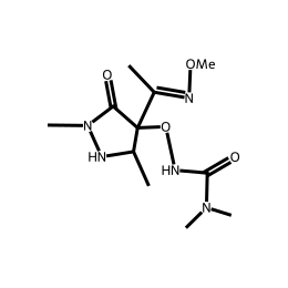 CO/N=C(\C)C1(ONC(=O)N(C)C)C(=O)N(C)NC1C